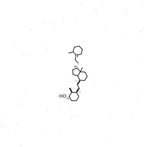 C=C1/C(=C\C=C2/CCCC3(C)C2CC[C@@H]3CCN2CCCCC2C)CCC[C@@H]1O